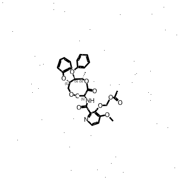 COc1ccnc(C(=O)N[C@H]2COC[C@H](Oc3ccccc3)[C@@H](Oc3ccccc3)[C@H](C)OC2=O)c1OCOC(C)=O